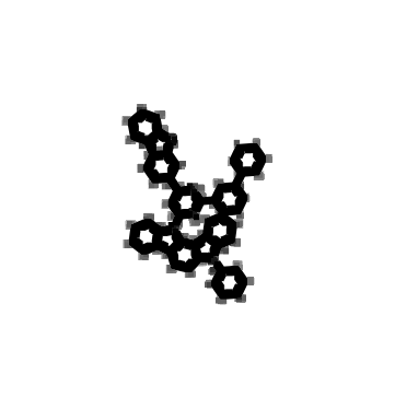 c1ccc(-c2cccc(-c3nc(-c4ccc5c(c4)oc4ccccc45)cc(-n4c5ccccc5c5ccc6c(c7ccccc7n6-c6ccccc6)c54)n3)c2)cc1